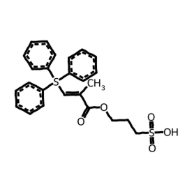 CC(=CS(c1ccccc1)(c1ccccc1)c1ccccc1)C(=O)OCCCS(=O)(=O)O